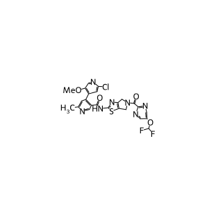 COc1cnc(Cl)cc1-c1cc(C)ncc1C(=O)Nc1nc2c(s1)CN(C(=O)c1ncc(OC(F)F)cn1)C2